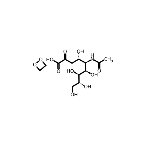 C1COO1.CC(=O)N[C@@H]([C@@H](O)[C@H](O)[C@H](O)CO)[C@@H](O)CC(=O)C(=O)O